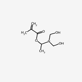 C=C(C)C(=O)OC(C)N(CO)CO